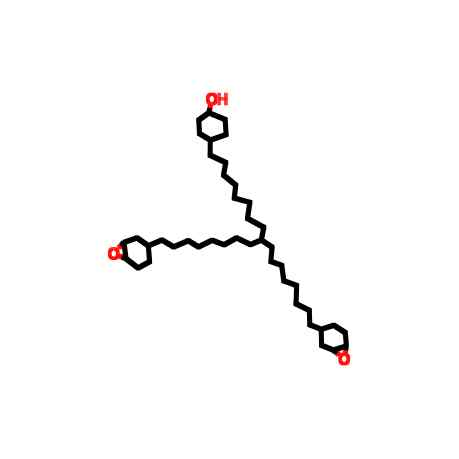 OC1CCC(CCCCCCCCC(CCCCCCCCC2CCC3OC3C2)CCCCCCCCC2CCC3OC3C2)CC1